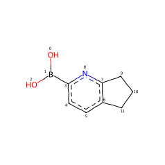 OB(O)c1ccc2c(n1)CCC2